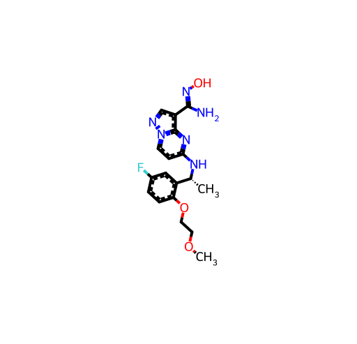 COCCOc1ccc(F)cc1[C@@H](C)Nc1ccn2ncc(/C(N)=N/O)c2n1